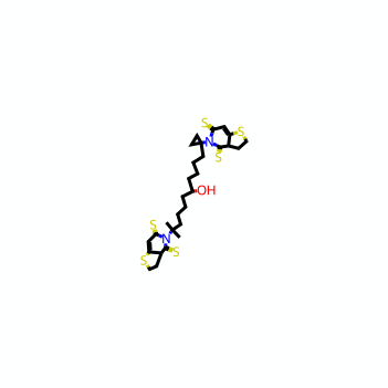 CC(C)(CCCCC(O)CCCCC1(N2C(=S)C=C3SCCC3C2=S)CC1)N1C(=S)C=C2SCCC2C1=S